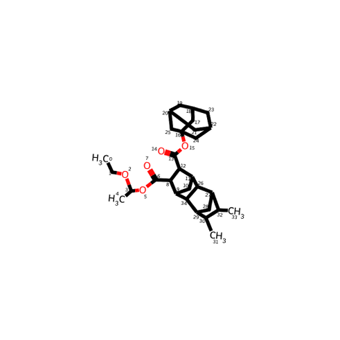 CCOC(C)OC(=O)C1C2CC(C1C(=O)OC13CC4CC(CC(C4)C1)C3)C1C3CC(C(C)C3C)C21